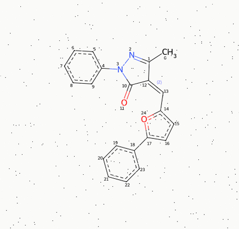 CC1=NN(c2ccccc2)C(=O)/C1=C\c1ccc(-c2ccccc2)o1